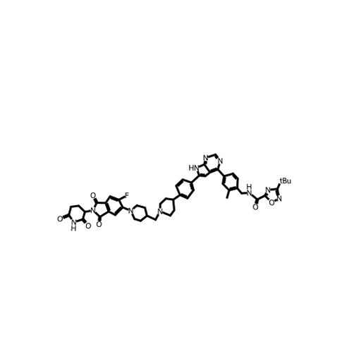 Cc1cc(-c2ncnc3[nH]c(-c4ccc(C5CCN(CC6CCN(c7cc8c(cc7F)C(=O)N(C7CCC(=O)NC7=O)C8=O)CC6)CC5)cc4)cc23)ccc1CNC(=O)c1nc(C(C)(C)C)no1